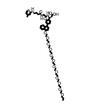 CCCOCCOCCOCCOCCOCCOCCOCCOCCOCCOCCOCCOc1ccc(-c2ccc([C@H](CC(=O)O)NC(=O)CNC(=O)CCCNc3cc(C)ccn3)cc2)c2ccccc12